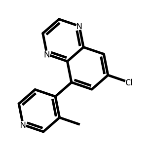 Cc1cnccc1-c1cc(Cl)cc2nccnc12